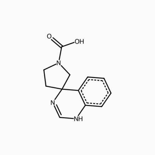 O=C(O)N1CCC2(C1)N=CNc1ccccc12